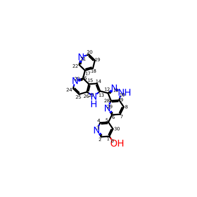 Oc1cncc(-c2ccc3[nH]nc(-c4cc5c(-c6cccnc6)nccc5[nH]4)c3n2)c1